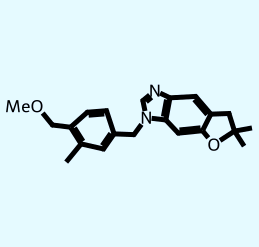 COCc1ccc(Cn2cnc3cc4c(cc32)OC(C)(C)C4)cc1C